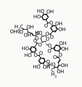 C=C(O)/C(O)=C(O)\C=C\C(=O)Oc1cc(C(=O)OC[C@H]2O[C@@H](OC(=O)c3cc(O)c(O)c(OC(=O)c4cc(O)c(O)c(O)c4)c3)[C@H](O)[C@@H](OC(=O)/C=C/C(O)C(O)C(=C)OC=O)[C@@H]2OC(=O)c2cc(O)c(O)c(OC(=O)c3cc(O)c(O)c(O)c3)c2)cc(O)c1O